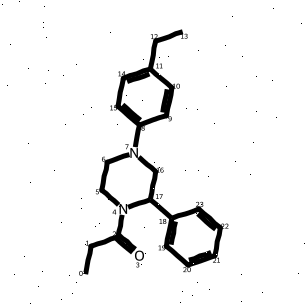 CCC(=O)N1CCN(c2ccc(CC)cc2)CC1c1ccccc1